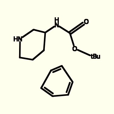 CC(C)(C)OC(=O)NC1CCCNC1.c1ccccc1